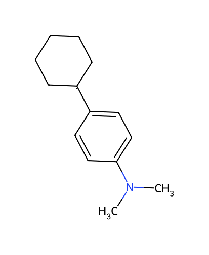 CN(C)c1ccc([C]2CCCCC2)cc1